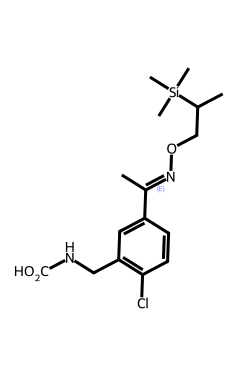 C/C(=N\OCC(C)[Si](C)(C)C)c1ccc(Cl)c(CNC(=O)O)c1